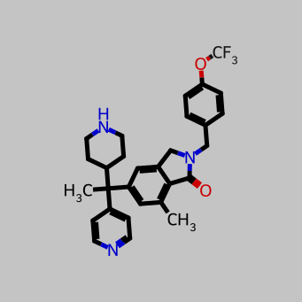 Cc1cc(C(C)(c2ccncc2)C2CCNCC2)cc2c1C(=O)N(Cc1ccc(OC(F)(F)F)cc1)C2